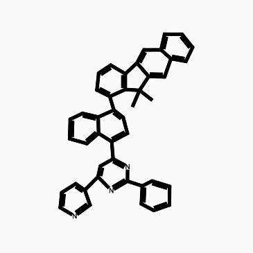 CC1(C)c2cc3ccccc3cc2-c2cccc(-c3ccc(-c4cc(-c5cccnc5)nc(-c5ccccc5)n4)c4ccccc34)c21